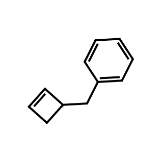 C1=C[C](Cc2ccccc2)C1